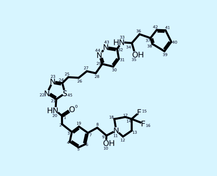 O=C(Cc1cccc(CC(O)N2CCC(F)(F)CC2)c1)Nc1nnc(CCCCc2ccc(NC(O)Cc3ccccc3)nn2)s1